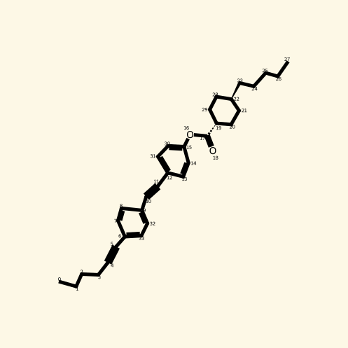 CCCCC#Cc1ccc(C#Cc2ccc(OC(=O)[C@H]3CC[C@H](CCCCC)CC3)cc2)cc1